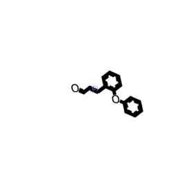 O=C/C=C/c1ccccc1Oc1ccccc1